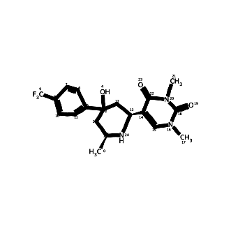 C[C@H]1CC(O)(c2ccc(C(F)(F)F)cc2)C[C@@H](c2cn(C)c(=O)n(C)c2=O)N1